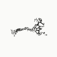 COc1ccc(-c2sc3cc(OC)ccc3c2C(=O)c2ccc(OCCOCCOCCOCC(=O)OC(C)(C)C)cc2)cc1